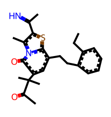 CCc1ccccc1CCc1cc(C(C)(C)C(C)=O)c(=O)n2c(C)c(C(C)=N)sc12